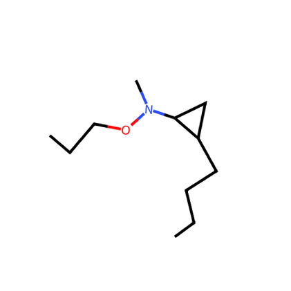 CCCCC1CC1N(C)OCCC